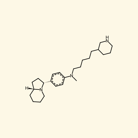 CN(CCCCCC1CCCNC1)c1ccc([C@H]2CC[C@H]3CCCCN32)cc1